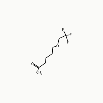 CC(=O)CCCCOCC(F)(F)F